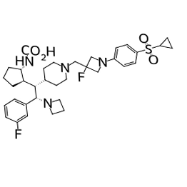 O=C(O)N[C@H]1CCC[C@@H]1[C@H](C1CCN(CC2(F)CN(c3ccc(S(=O)(=O)C4CC4)cc3)C2)CC1)[C@@H](c1cccc(F)c1)N1CCC1